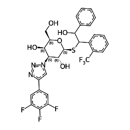 OC[C@H]1O[C@@H](SC(c2ccccc2C(F)(F)F)C(O)c2ccccc2)[C@H](O)[C@@H](n2cc(-c3cc(F)c(F)c(F)c3)nn2)[C@H]1O